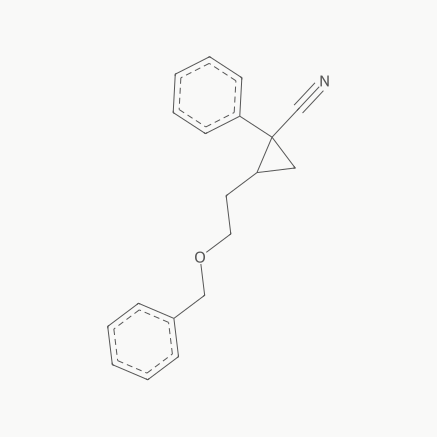 N#CC1(c2ccccc2)CC1CCOCc1ccccc1